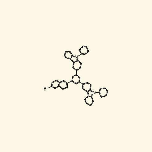 Brc1ccc2cc(-c3cc(-c4ccc5c(c4)c4ccccc4n5-c4ccccc4)cc(-c4ccc5c(c4)c4ccccc4n5-c4ccccc4)c3)ccc2c1